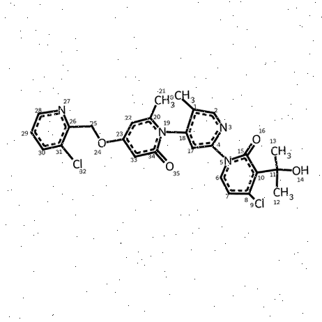 Cc1cnc(-n2ccc(Cl)c(C(C)(C)O)c2=O)cc1-n1c(C)cc(OCc2ncccc2Cl)cc1=O